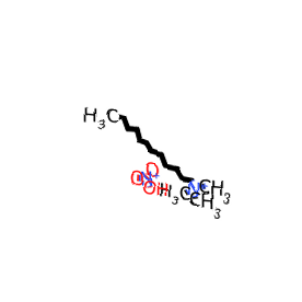 CCCCCCCCCCCC[N+](C)(C)C.O=[N+]([O-])O